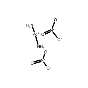 O=[N+]([O-])[O-].O=[N+]([O-])[O-].[NH2][Pd+2][NH2]